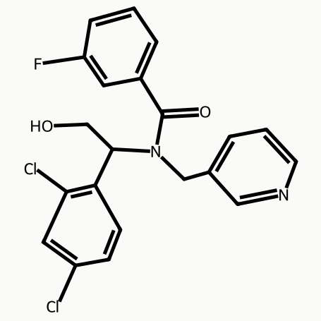 O=C(c1cccc(F)c1)N(Cc1cccnc1)C(CO)c1ccc(Cl)cc1Cl